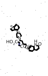 O=C(O)/C=C/C(=O)O.O=c1ccc2ccc(OCCCCN3CCN(c4cccc5sccc45)CC3)cc2[nH]1